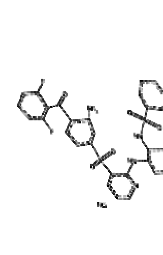 Cl.Nc1cc(S(=O)(=O)c2cccnc2Nc2ccccc2NS(=O)(=O)c2ccccc2)ccc1C(=O)c1c(F)cccc1F